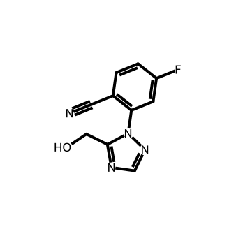 N#Cc1ccc(F)cc1-n1ncnc1CO